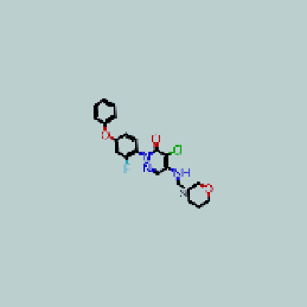 O=c1c(Cl)c(NC[C@@H]2CCCOC2)cnn1-c1ccc(Oc2ccccc2)cc1F